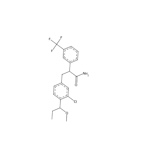 CCC(OC)c1ccc(CC(C(N)=O)c2cccc(C(F)(F)F)c2)cc1Cl